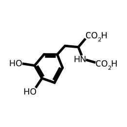 O=C(O)NC(Cc1ccc(O)c(O)c1)C(=O)O